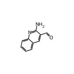 Nc1nc2ccccc2cc1C=O